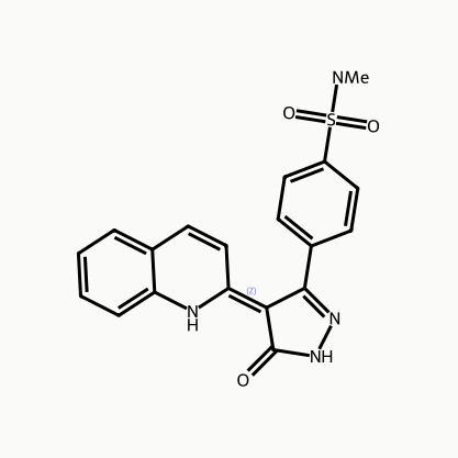 CNS(=O)(=O)c1ccc(C2=NNC(=O)/C2=C2/C=Cc3ccccc3N2)cc1